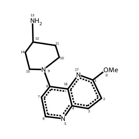 COc1ccc2nccc(N3CCC(N)CC3)c2n1